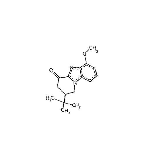 COc1cccc2c1nc1n2CC(C(C)(C)C)CC1=O